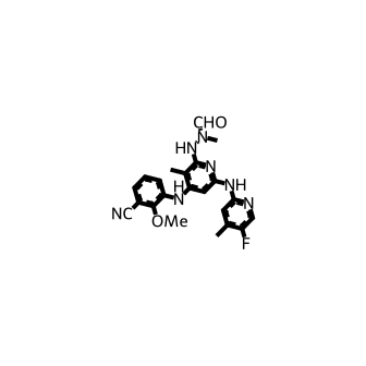 COc1c(C#N)cccc1Nc1cc(Nc2cc(C)c(F)cn2)nc(NN(C)C=O)c1C